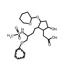 CS(=O)(=O)NC(CCC1C(OC2CCCCO2)CC(O)C1CC(=O)O)COc1ccccc1